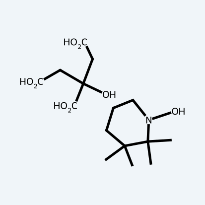 CC1(C)CCCN(O)C1(C)C.O=C(O)CC(O)(CC(=O)O)C(=O)O